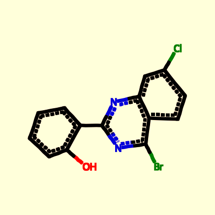 Oc1ccccc1-c1nc(Br)c2ccc(Cl)cc2n1